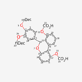 CCCCCCCCCCOc1ccc(COc2cccc(OC(=O)O)c2-c2cccc(OC(=O)O)c2)cc1OCCCCCCCCCC